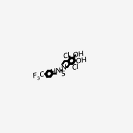 Oc1c(O)c(Cl)c2c(c1Cl)CCN(C(=S)NCc1ccc(C(F)(F)F)cc1)C2